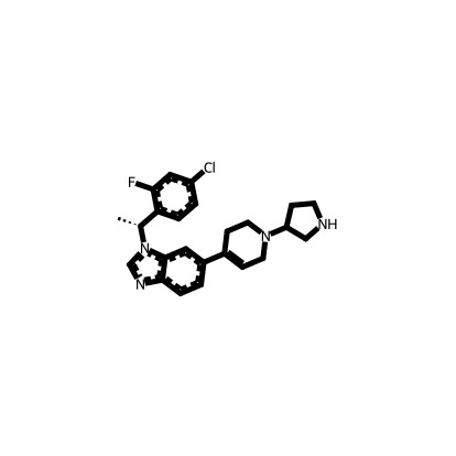 C[C@H](c1ccc(Cl)cc1F)n1cnc2ccc(C3=CCN(C4CCNC4)CC3)cc21